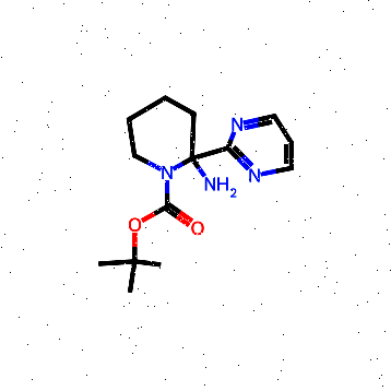 CC(C)(C)OC(=O)N1CCCCC1(N)c1ncccn1